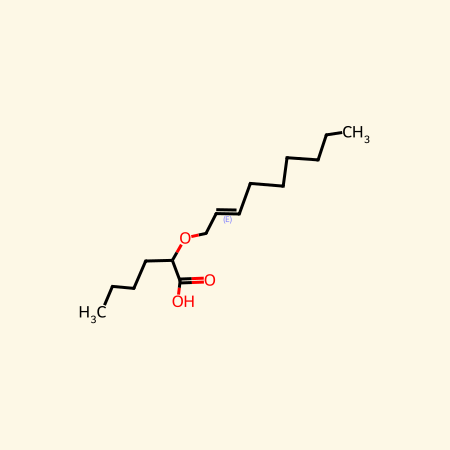 CCCCCC/C=C/COC(CCCC)C(=O)O